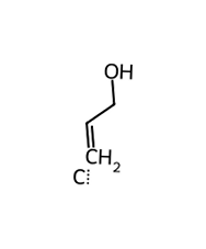 C=CCO.[C]